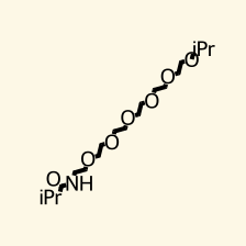 CC(C)OCCOCCOCCOCCOCCOCCNC(=O)C(C)C